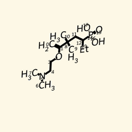 C=C(OCCN(C)C)C(C)(C)CC(CC)P(=O)(O)O